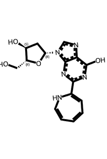 OC[C@H]1O[C@@H](n2cnc3c(O)nc(C4=CC=CC=CN4)nc32)C[C@@H]1O